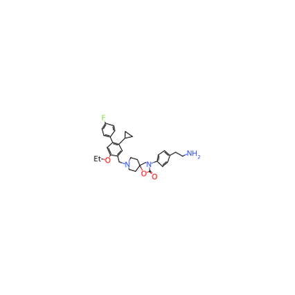 CCOc1cc(-c2ccc(F)cc2)c(C2CC2)cc1CN1CCC2(CC1)CN(c1ccc(CCN)cc1)C(=O)O2